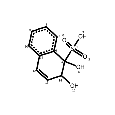 O=S(=O)(O)C1(O)c2ccccc2C=CC1O